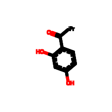 CC(C)C(=O)c1ccc(O)cc1O